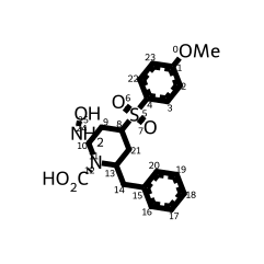 COc1ccc(S(=O)(=O)C2CCN(C(=O)O)C(Cc3ccccc3)C2)cc1.NO